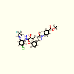 CC(C)(C)OC(=O)c1ccc(NC(=O)[C@@H](CCC(=O)C(=O)Nc2cc(Cl)ccc2N2CC(F)(F)C2)Cc2ccccc2)cc1